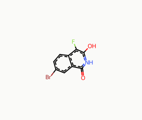 O=c1[nH]c(O)c(F)c2ccc(Br)cc12